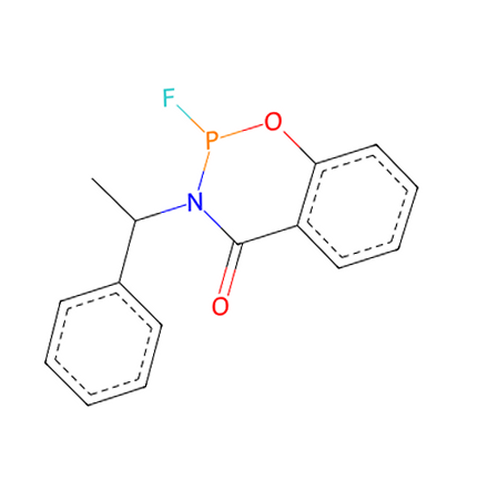 CC(c1ccccc1)N1C(=O)c2ccccc2OP1F